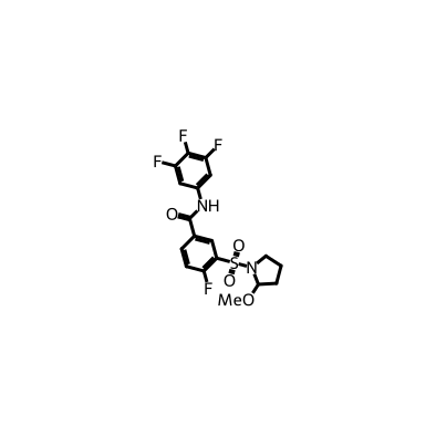 COC1CCCN1S(=O)(=O)c1cc(C(=O)Nc2cc(F)c(F)c(F)c2)ccc1F